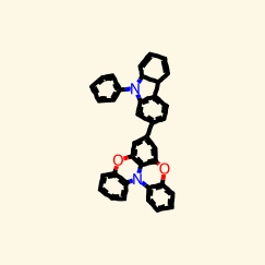 C1=CC2c3ccc(-c4cc5c6c(c4)Oc4ccccc4N6c4ccccc4O5)cc3N(c3ccccc3)C2C=C1